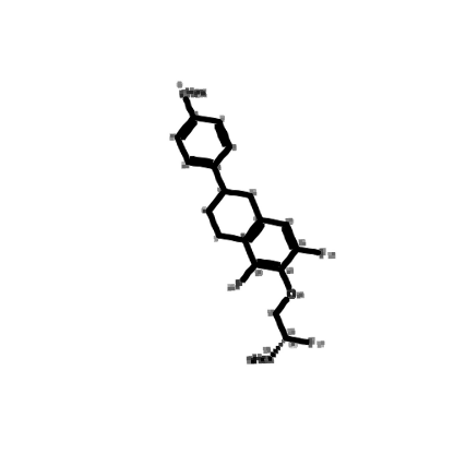 CCCCCCc1ccc(C2CCc3c(cc(F)c(OC[C@H](F)CCCCCC)c3F)C2)cc1